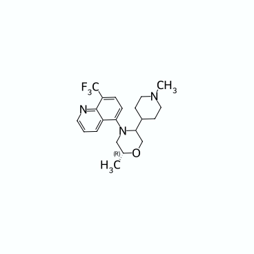 C[C@@H]1CN(c2ccc(C(F)(F)F)c3ncccc23)C(C2CCN(C)CC2)CO1